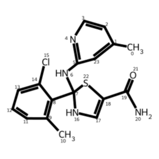 Cc1ccnc(NC2(c3c(C)cccc3Cl)NC=C(C(N)=O)S2)c1